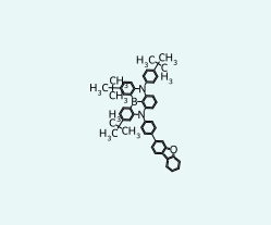 CC(C)(C)c1ccc(N2c3ccc(C(C)(C)C)cc3B3c4ccc(C(C)(C)C)cc4N(c4ccc(-c5ccc6c(c5)oc5ccccc56)cc4)c4cccc2c43)cc1